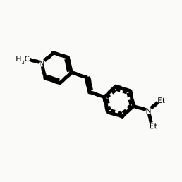 CCN(CC)c1ccc(C=CC2=CCN(C)C=C2)cc1